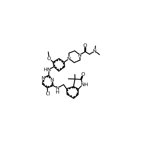 COc1cc(N2CCN(C(=O)CN(C)C)CC2)ccc1Nc1ncc(Cl)c(NCc2cccc3c2C(C)(C)C(=O)N3)n1